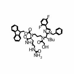 CC(C)(C)[C@H](c1nc(-c2cc(F)ccc2F)cn1Cc1ccccc1)N(CCCN(C(=O)OCC1c2ccccc2-c2ccccc21)[C@@H](CCCNC(N)=O)C(N)=O)C(=O)CO